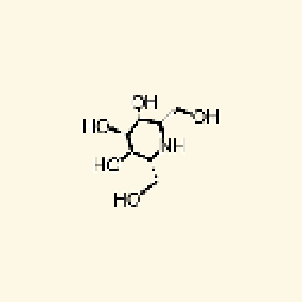 OC[C@@H]1N[C@H](CO)[C@@H](O)[C@@H](O)[C@@H]1O